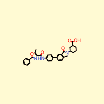 Cc1oc(-c2ccccc2)nc1C(=O)Nc1ccc(-c2ccc3c(c2)C(=O)N(C2CCCC(C(=O)O)C2)C3)cc1